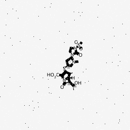 C[C@@H](O)[C@H]1C(=O)N2C(C(=O)O)=C(S[C@H]3C[C@H](N4CCN(S(C)(=O)=O)C4=O)N(C)C3)[C@H](C)[C@H]12